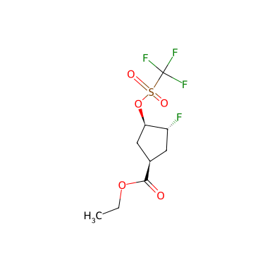 CCOC(=O)[C@@H]1C[C@@H](F)[C@H](OS(=O)(=O)C(F)(F)F)C1